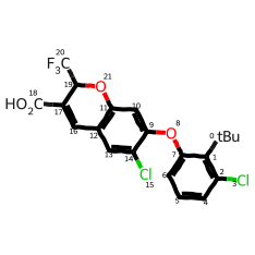 CC(C)(C)c1c(Cl)cccc1Oc1cc2c(cc1Cl)C=C(C(=O)O)C(C(F)(F)F)O2